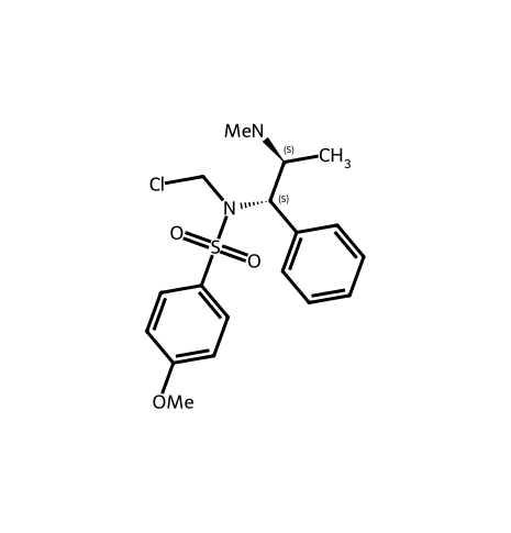 CN[C@@H](C)[C@H](c1ccccc1)N(CCl)S(=O)(=O)c1ccc(OC)cc1